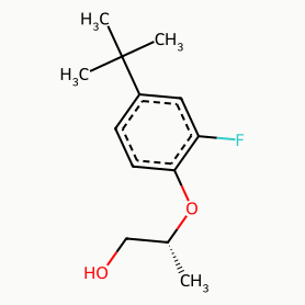 C[C@H](CO)Oc1ccc(C(C)(C)C)cc1F